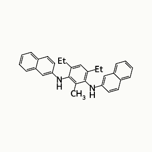 CCc1cc(CC)c(Nc2ccc3ccccc3c2)c(C)c1Nc1ccc2ccccc2c1